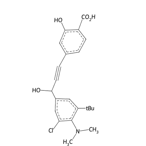 CN(C)c1c(Cl)cc(C(O)C#Cc2ccc(C(=O)O)c(O)c2)cc1C(C)(C)C